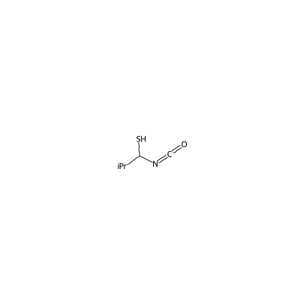 CC(C)C(S)N=C=O